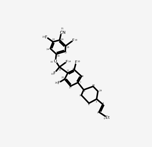 CCC=CC1CCC(c2cc(F)c(C(F)(F)Oc3cc(F)c(C#N)c(F)c3)c(F)c2)CC1